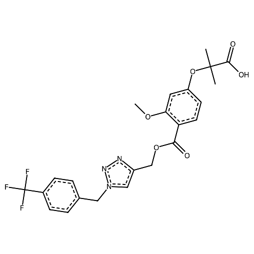 COc1cc(OC(C)(C)C(=O)O)ccc1C(=O)OCc1cn(Cc2ccc(C(F)(F)F)cc2)nn1